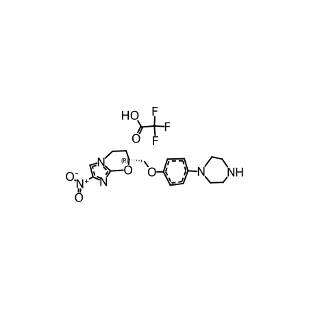 O=C(O)C(F)(F)F.O=[N+]([O-])c1cn2c(n1)O[C@@H](COc1ccc(N3CCNCC3)cc1)CC2